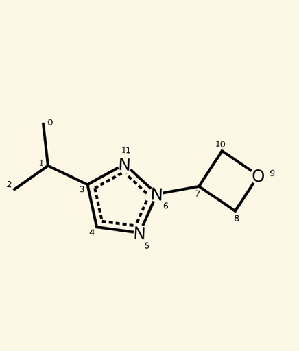 CC(C)c1cnn(C2COC2)n1